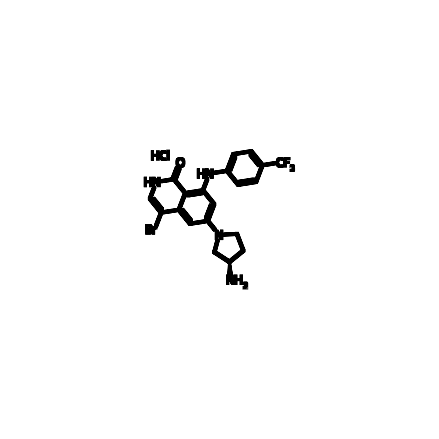 Cl.N[C@@H]1CCN(c2cc(Nc3ccc(C(F)(F)F)cc3)c3c(=O)[nH]cc(Br)c3c2)C1